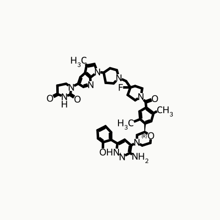 Cc1cc([C@@H]2CN(c3cc(-c4ccccc4O)nnc3N)CCO2)c(C)cc1C(=O)N1CCC(F)(CN2CCC(n3cc(C)c4cc(N5CCC(=O)NC5=O)cnc43)CC2)CC1